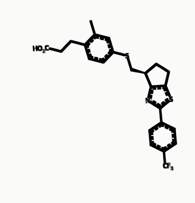 Cc1cc(SC[C@H]2CCc3sc(-c4ccc(C(F)(F)F)cc4)nc32)ccc1CCC(=O)O